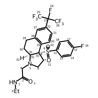 CCNC(=O)CN1CC[C@]2(S(=O)(=O)c3ccc(F)cc3)c3ccc(C(F)(C(F)(F)F)C(F)(F)F)cc3CC[C@H]12